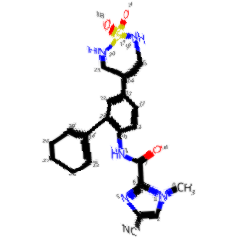 Cn1cc(C#N)nc1C(=O)Nc1ccc(C2CNS(=O)(=O)NC2)cc1C1=CCCCC1